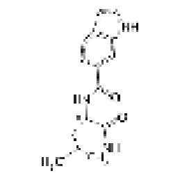 CC(C)C[C@H](NC(=O)c1ccc2cc[nH]c2c1)C([NH])=O